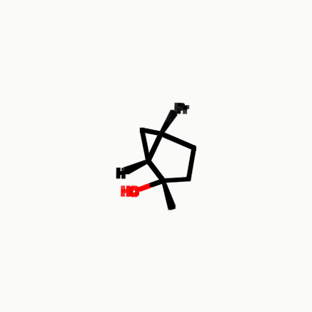 CC(C)[C@@]12CC[C@](C)(O)[C@@H]1C2